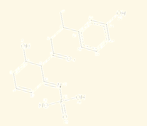 CC(CC(=O)C1C(O)=CC=C/C1=N\P(=O)(O)O)c1cccc(O)c1